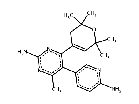 Cc1nc(N)nc(C2=CC(C)(C)OC(C)(C)C2)c1-c1ccc(N)nc1